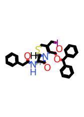 O=C(Cc1ccccc1)N[C@@H]1C(=O)N2C(C(=O)OC(c3ccccc3)c3ccccc3)=C(CI)CS[C@H]12